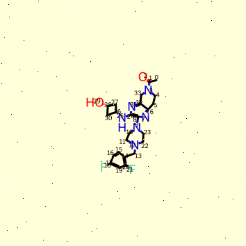 CC(=O)N1CCc2nc(N3CCN(Cc4ccc(F)cc4F)CC3)c(N[C@H]3C[C@@H](O)C3)nc2C1